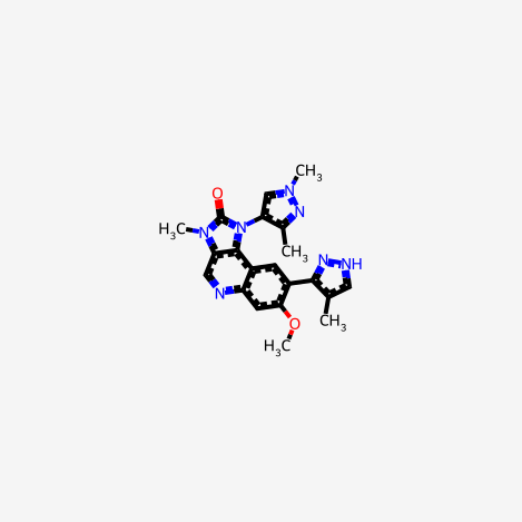 COc1cc2ncc3c(c2cc1-c1n[nH]cc1C)n(-c1cn(C)nc1C)c(=O)n3C